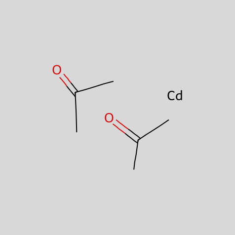 CC(C)=O.CC(C)=O.[Cd]